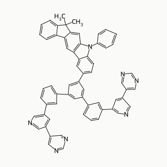 CC1(C)c2ccccc2-c2cc3c4cc(-c5cc(-c6cccc(-c7cncc(-c8cncnc8)c7)c6)cc(-c6cccc(-c7cncc(-c8cncnc8)c7)c6)c5)ccc4n(-c4ccccc4)c3cc21